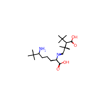 CC(C)(C)C(N)CCCC(N=CC(C)(C)C(C(=O)O)C(C)(C)C)C(=O)O